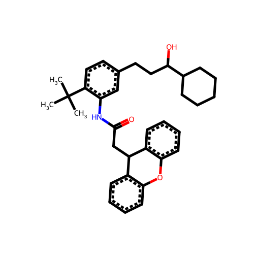 CC(C)(C)c1ccc(CCC(O)C2CCCCC2)cc1NC(=O)CC1c2ccccc2Oc2ccccc21